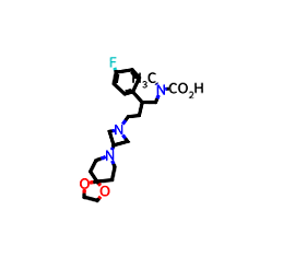 CN(CC(CCN1CC(N2CCC3(CC2)OCCO3)C1)c1ccc(F)cc1)C(=O)O